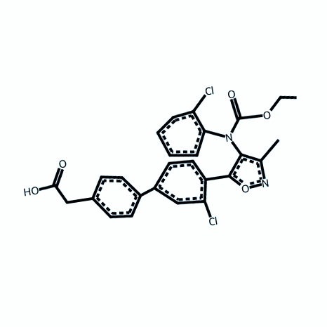 CCOC(=O)N(c1ccccc1Cl)c1c(C)noc1-c1ccc(-c2ccc(CC(=O)O)cc2)cc1Cl